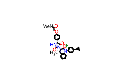 CNC(=O)COc1ccc([C@H]2NC(=O)N(C(C(=O)Nc3ccc(C4CC4)cc3F)[C@@H](C)c3ccccc3)C2=O)cc1